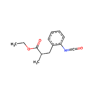 CCOC(=O)C(C)Cc1ccccc1N=C=O